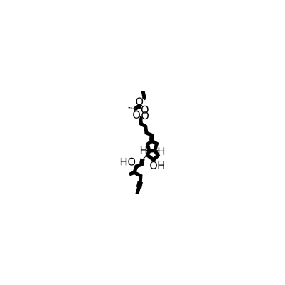 CC#CCC(C)[C@H](O)/C=C/[C@@H]1[C@H]2C/C(=C\CCCC(=O)O[C@H](C)C(=O)OCC)C[C@H]2C[C@H]1O